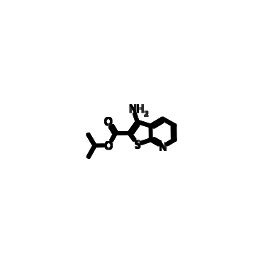 CC(C)OC(=O)c1sc2ncccc2c1N